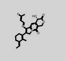 C/C=C1\CCCC(C2=C(/N=C/C=C(\C)F)c3cc4c(c(=O)n3C2)COC(=O)[C@H]4O)=C1C